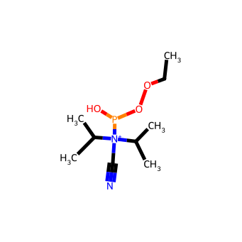 CCOOP(O)[N+](C#N)(C(C)C)C(C)C